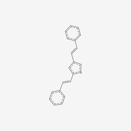 C(=Cc1csc(C=Cc2ccccc2)c1)c1ccccc1